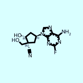 N#C[C@@]1(CO)C[C@H](n2cnc3c(N)nc(F)nc32)C[C@H]1O